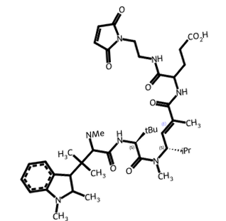 CNC(C(=O)N[C@H](C(=O)N(C)[C@H](/C=C(\C)C(=O)NC(CCC(=O)O)C(=O)NCCN1C(=O)C=CC1=O)C(C)C)C(C)(C)C)C(C)(C)C1c2ccccc2N(C)C1C